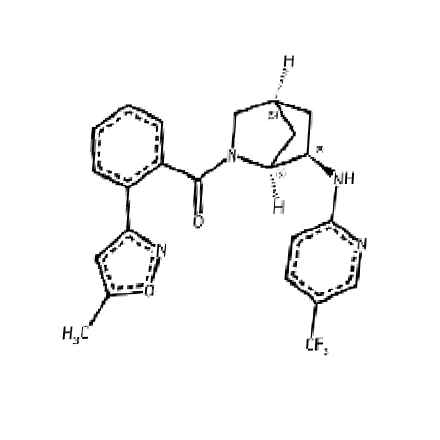 Cc1cc(-c2ccccc2C(=O)N2C[C@H]3C[C@@H](Nc4ccc(C(F)(F)F)cn4)[C@@H]2C3)no1